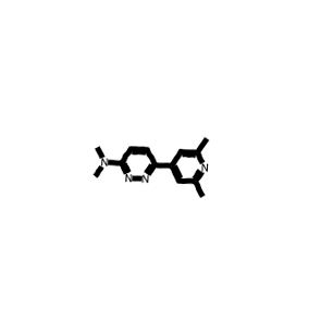 Cc1cc(-c2ccc(N(C)C)nn2)cc(C)n1